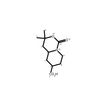 CC1(C)CC2CC(C(=O)O)CCN2C(=O)O1